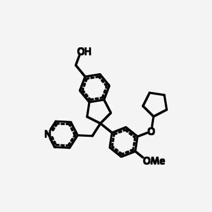 COc1ccc(C2(Cc3ccncc3)Cc3ccc(CO)cc3C2)cc1OC1CCCC1